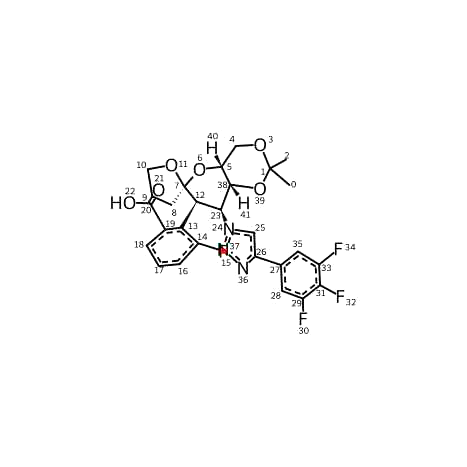 CC1(C)OC[C@H]2O[C@@]3(CCCO3)[C@H](c3c(F)cccc3C(=O)O)[C@H](n3cc(-c4cc(F)c(F)c(F)c4)nn3)[C@H]2O1